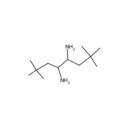 CC(C)(C)CC(N)C(N)CC(C)(C)C